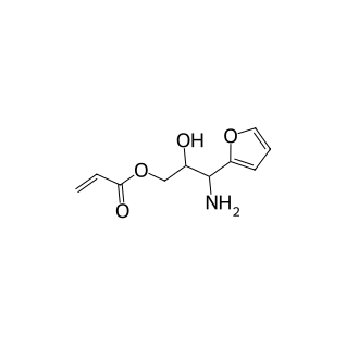 C=CC(=O)OCC(O)C(N)c1ccco1